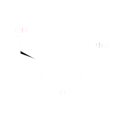 CC(C)(C)[C@@H]1COC[C@@H](CO)C1